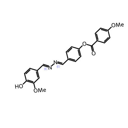 COc1ccc(C(=O)Oc2ccc(/C=N/N=C/c3ccc(O)c(OC)c3)cc2)cc1